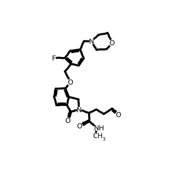 CNC(=O)C(CCC=O)N1Cc2c(OCc3ccc(CN4CCOCC4)cc3F)cccc2C1=O